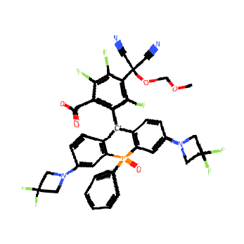 COCOC(C#N)(C#N)c1c(F)c(F)c(C(=O)[O-])c([C+]2c3ccc(N4CC(F)(F)C4)cc3P(=O)(c3ccccc3)c3cc(N4CC(F)(F)C4)ccc32)c1F